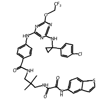 CC(C)(CNC(=O)C(=O)Nc1ccc2sccc2c1)CNC(=O)c1ccc(Nc2nc(NC3(c4ccc(Cl)cc4)CC3)nc(OCC(F)(F)F)n2)cc1